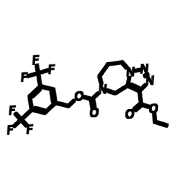 CCOC(=O)c1nnn2c1CN(C(=O)OCc1cc(C(F)(F)F)cc(C(F)(F)F)c1)CCC2